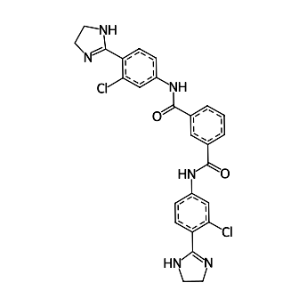 O=C(Nc1ccc(C2=NCCN2)c(Cl)c1)c1cccc(C(=O)Nc2ccc(C3=NCCN3)c(Cl)c2)c1